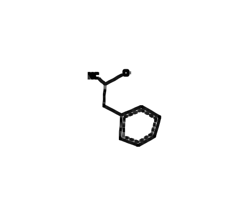 N#CC([O])Cc1ccccc1